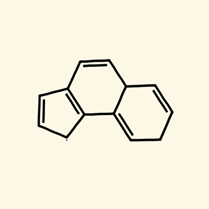 [CH]1C=CC2=C1C1=CCC=CC1C=C2